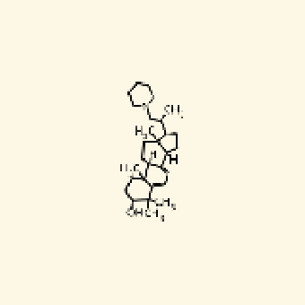 C[C@H](CN1CCCCC1)[C@H]1CC[C@H]2C3=CC=C4C(C)(C)[C@@H](O)CC[C@]4(C)[C@H]3CC[C@]12C